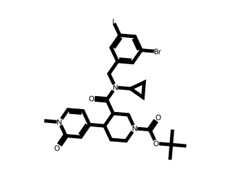 Cn1ccc(C2CCN(C(=O)OC(C)(C)C)CC2C(=O)N(Cc2cc(Br)cc(I)c2)C2CC2)cc1=O